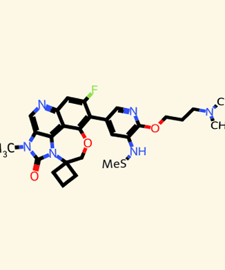 CSNc1cc(-c2c(F)cc3ncc4c5c3c2OCC2(CCC2)n5c(=O)n4C)cnc1OCCCN(C)C